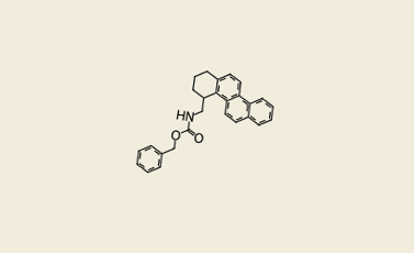 O=C(NCC1CCCc2ccc3c(ccc4ccccc43)c21)OCc1ccccc1